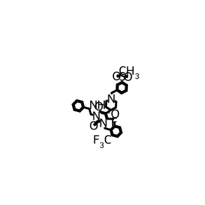 CS(=O)(=O)c1cccc(CN2CCC3(CC2)OCc2c3c(=O)n(CC(N)c3ccccc3)c(=O)n2Cc2c(F)cccc2C(F)(F)F)c1